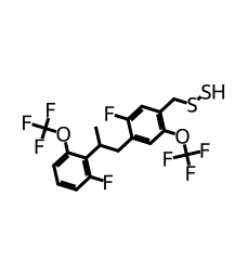 CC(Cc1cc(OC(F)(F)F)c(CSS)cc1F)c1c(F)cccc1OC(F)(F)F